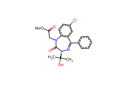 COC(=O)CN1C(=O)[C@H](C(C)(C)O)N=C(c2ccccc2)c2cc(Cl)ccc21